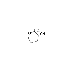 C1CCOCC1.N#CO